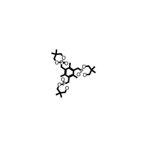 Cc1c(CP2(=O)OCC(C)(C)CO2)c(C)c(CP2(=O)OCC(C)(C)CO2)c(C)c1CP1(=O)OCC(C)(C)CO1